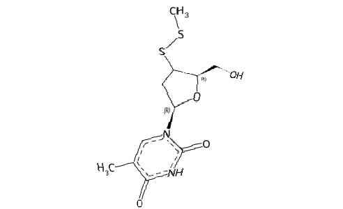 CSSC1C[C@H](n2cc(C)c(=O)[nH]c2=O)O[C@@H]1CO